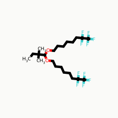 CCC(C)(C)C(OCCCCCCC(F)(F)C(F)(F)F)OCCCCCCC(F)(F)C(F)(F)F